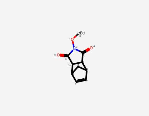 CC(C)(C)ON1C(=O)C2C3C=CC(C3)C2C1=O